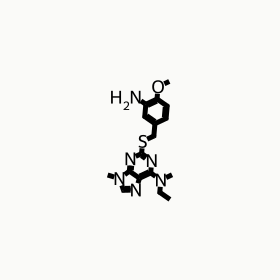 CCN(C)c1nc(SCc2ccc(OC)c(N)c2)nc2c1ncn2C